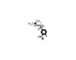 CC(C)PNS(=O)(=O)c1ccc(F)c([N+](=O)[O-])c1